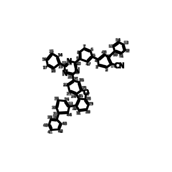 N#Cc1ccc(-c2cccc(-c3nc(-c4ccccc4)nc(-c4ccc5c(c4)oc4cccc(-c6cccc(-c7ccccc7)c6)c45)n3)c2)cc1-c1ccccc1